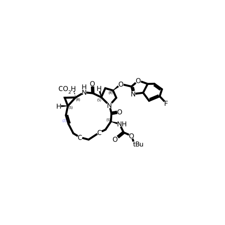 CC(C)(C)OC(=O)N[C@H]1CCCCC/C=C\[C@@H]2C[C@@]2(C(=O)O)NC(=O)[C@@H]2C[C@@H](OC3=NC4C=C(F)C=CC4O3)CN2C1=O